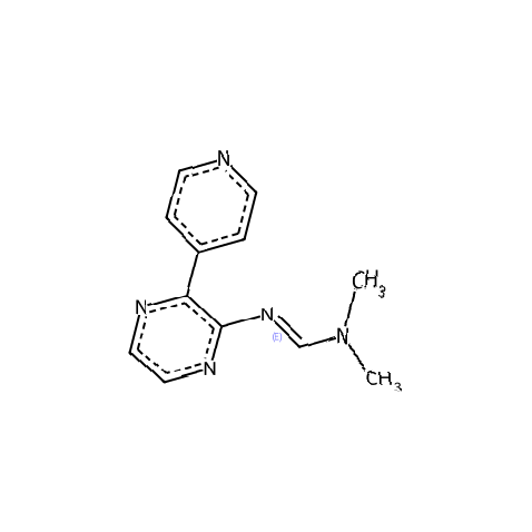 CN(C)/C=N/c1nccnc1-c1ccncc1